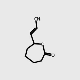 N#CC=CC1CCCCC(=O)O1